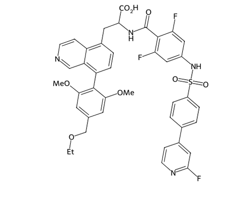 CCOCc1cc(OC)c(-c2ccc(CC(NC(=O)c3c(F)cc(NS(=O)(=O)c4ccc(-c5ccnc(F)c5)cc4)cc3F)C(=O)O)c3ccncc23)c(OC)c1